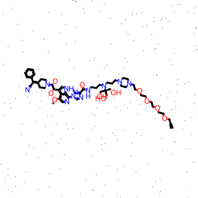 C#CCOCCOCCOCCOCCN1CCN(CCCN(CCCNC(=O)c2ncn(-c3ncc(OC)c4c(C(=O)C(=O)N5CCC(=C(C#N)c6ccccc6)CC5)c[nH]c34)n2)C(CO)(CO)CO)CC1